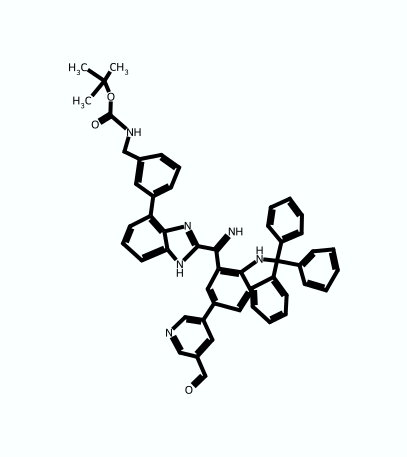 CC(C)(C)OC(=O)NCc1cccc(-c2cccc3[nH]c(C(=N)c4cc(-c5cncc(C=O)c5)ccc4NC(c4ccccc4)(c4ccccc4)c4ccccc4)nc23)c1